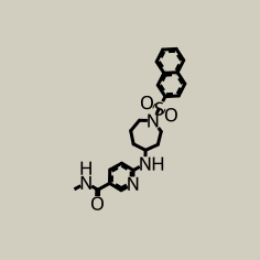 CNC(=O)c1ccc(NC2CCCN(S(=O)(=O)c3ccc4ccccc4c3)CC2)nc1